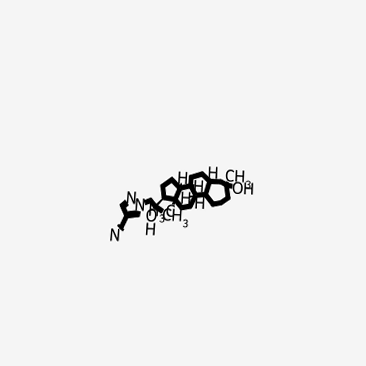 CC(O)(Cn1cc(C#N)cn1)[C@H]1CC[C@H]2[C@@H]3CC[C@@H]4C[C@](C)(O)CCC[C@@H]4[C@H]3CC[C@]12C